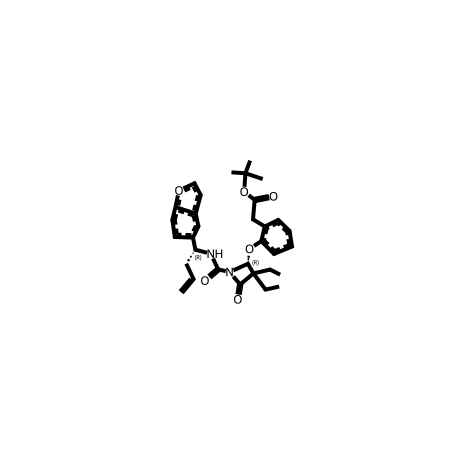 C=CC[C@@H](NC(=O)N1C(=O)C(CC)(CC)[C@H]1Oc1ccccc1CC(=O)OC(C)(C)C)c1ccc2occc2c1